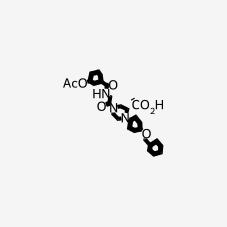 CC(=O)O.CC(=O)Oc1cccc(C(=O)NCC(=O)N2CCN(c3ccc(OCc4ccccc4)cc3)CC2)c1